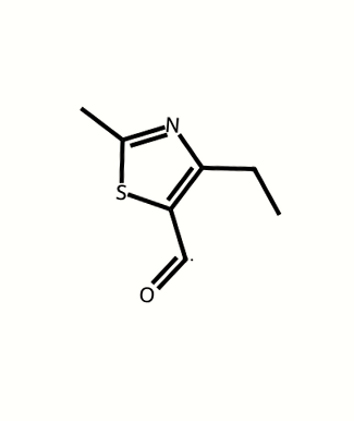 CCc1nc(C)sc1[C]=O